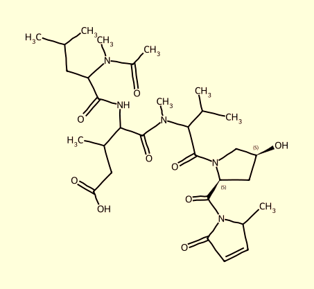 CC(=O)N(C)C(CC(C)C)C(=O)NC(C(=O)N(C)C(C(=O)N1C[C@@H](O)C[C@H]1C(=O)N1C(=O)C=CC1C)C(C)C)C(C)CC(=O)O